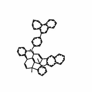 CC12Sc3cc4ccccc4cc3C1=CC1(C)C3=C2C(C)(c2ccccc2)C=CC3(C)c2ccccc2N1c1ccc(-c2cc3ccccc3c3ccccc23)cc1